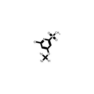 [2H]C([2H])([2H])Oc1cc(Cl)nc(S(C)(=O)=O)c1